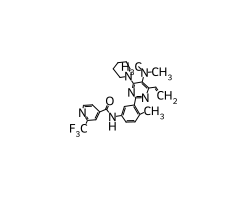 C=Cc1nc(-c2cc(NC(=O)c3ccnc(C(F)(F)F)c3)ccc2C)nc(N2CCCCC2)c1N(C)C